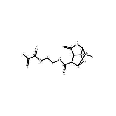 C=C(C)C(=O)OCCOC(=O)C1C2CC3C(OC(=C)C31)C2C